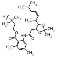 Cc1cc(C)c(C(=O)OCC[Si](C)(C)C)c(NC(=O)C[C@@H]2OC(C)(C)O[C@@H]2C(C)/C=C\CC(C)C)c1